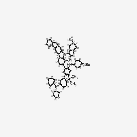 CC(C)(C)c1ccc(Nc2cc3c(cc2-c2ccc4c5cc6c(cc5n5c4c2Bc2oc4ccc(C(C)(C)C)cc4c2-5)sc2ccccc26)-c2cc(N(c4ccccc4)c4ccccc4)ccc2C3(C)C)cc1